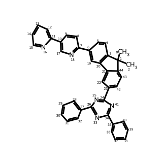 CC1(C)c2ccc(-c3ccc(-c4ccccn4)cn3)cc2-c2cc(-c3nc(-c4ccccc4)nc(-c4ccccc4)n3)ccc21